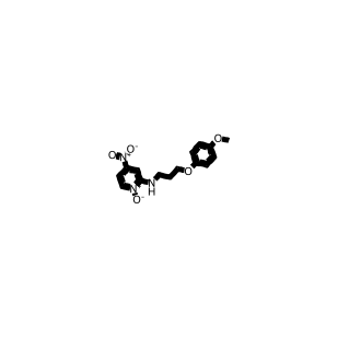 COc1ccc(OCCCNc2cc([N+](=O)[O-])cc[n+]2[O-])cc1